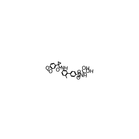 Cc1ccc(NC(=O)C2(c3ccc4c(c3)OCO4)CC2)cc1-c1ccc(S(=O)(=O)NC(CO)CO)cc1